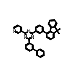 CC1(C)c2ccccc2-c2c(-c3cccc(-c4nc(-c5cccnc5)nc(-c5cccc(-c6ccccc6)c5)n4)c3)cccc21